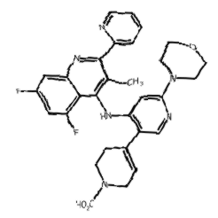 Cc1c(-c2ccccn2)nc2cc(F)cc(F)c2c1Nc1cc(N2CCOCC2)ncc1C1=CCN(C(=O)O)CC1